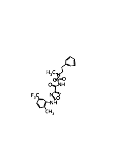 Cc1ccc(C(F)(F)F)cc1Nc1nc(C(=O)NS(=O)(=O)N(C)CCc2ccccc2)co1